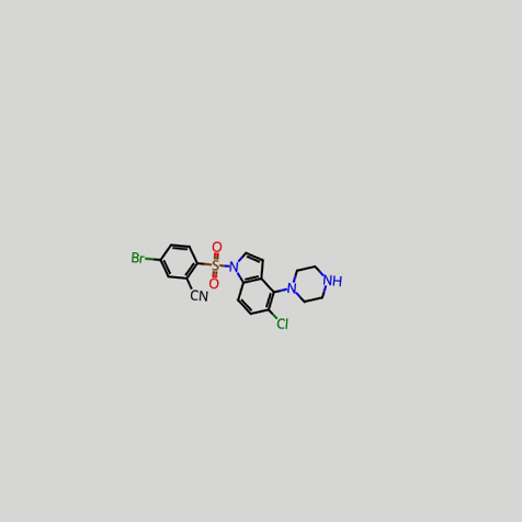 N#Cc1cc(Br)ccc1S(=O)(=O)n1ccc2c(N3CCNCC3)c(Cl)ccc21